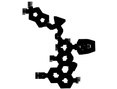 C#Cc1c(F)ccc2cc(O)cc(-c3c(F)cc4c(N5CC6CCC(C5)N6)nc(OCC5(CN6CC7CC(F)(F)CC7C6)CC5)nc4c3F)c12